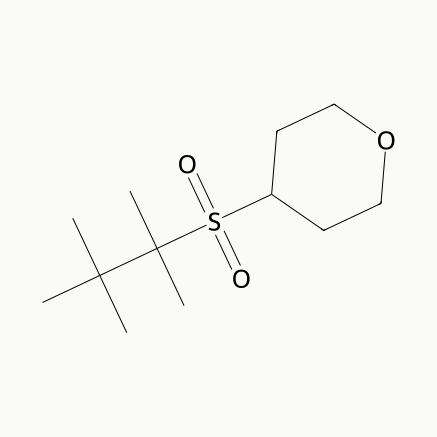 CC(C)(C)C(C)(C)S(=O)(=O)C1CCOCC1